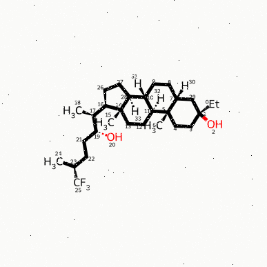 CC[C@@]1(O)CC[C@@]2(C)[C@H](CC[C@@H]3[C@@H]2CC[C@]2(C)[C@@H]([C@H](C)[C@H](O)CC[C@H](C)C(F)(F)F)CC[C@@H]32)C1